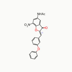 CC(=O)Nc1cc2c(c([N+](=O)[O-])c1)O/C(=C\c1cccc(Oc3ccccc3)c1)C2=O